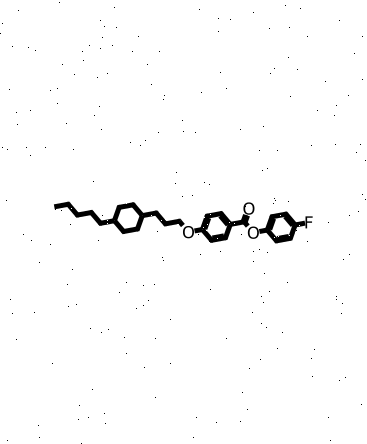 CCCCCC1CCC(CCCOc2ccc(C(=O)Oc3ccc(F)cc3)cc2)CC1